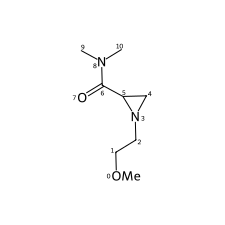 COCCN1CC1C(=O)N(C)C